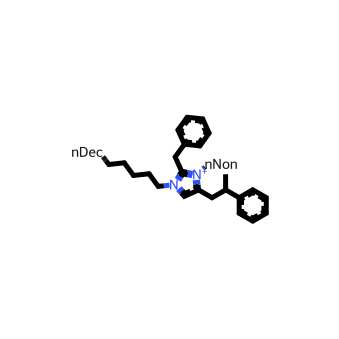 CCCCCCCCCCCCCCCn1cc(CC(C)c2ccccc2)[n+](CCCCCCCCC)c1Cc1ccccc1